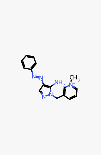 C[n+]1cccc(Cn2ncc(/N=N/c3ccccc3)c2N)c1